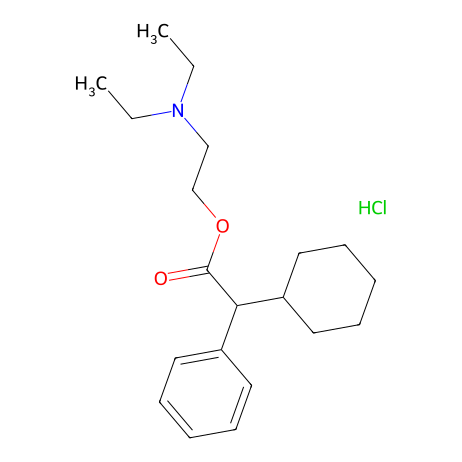 CCN(CC)CCOC(=O)C(c1ccccc1)C1CCCCC1.Cl